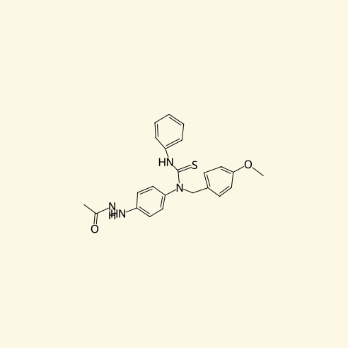 COc1ccc(CN(C(=S)Nc2ccccc2)c2ccc(NNC(C)=O)cc2)cc1